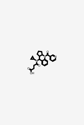 O=C(O)CCC(=O)N(C1CC1)C1c2ccccc2N(C(=O)c2cccnc2)C2CCCC21